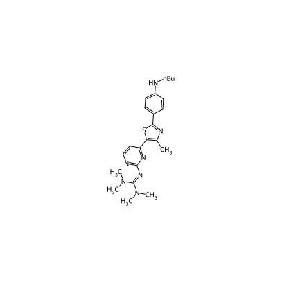 CCCCNc1ccc(-c2nc(C)c(-c3ccnc(N=C(N(C)C)N(C)C)n3)s2)cc1